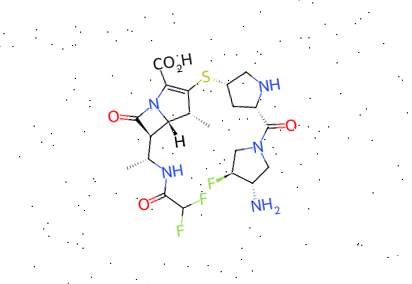 C[C@@H](NC(=O)C(F)F)[C@H]1C(=O)N2C(C(=O)O)=C(S[C@@H]3CN[C@H](C(=O)N4C[C@H](N)[C@@H](F)C4)C3)[C@H](C)[C@H]12